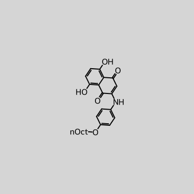 CCCCCCCCOc1ccc(NC2=CC(=O)c3c(O)ccc(O)c3C2=O)cc1